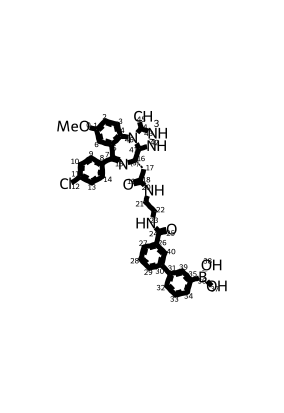 COc1ccc2c(c1)C(c1ccc(Cl)cc1)=N[C@@H](CC(=O)NCCNC(=O)c1cccc(-c3cccc(B(O)O)c3)c1)C1NNC(C)N21